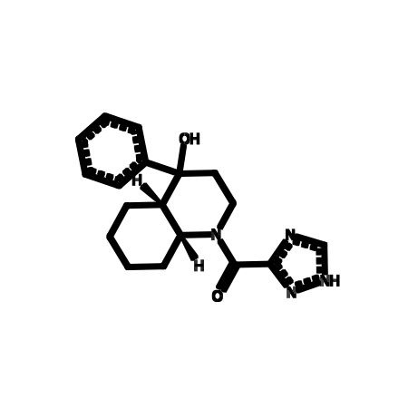 O=C(c1nc[nH]n1)N1CCC(O)(c2ccccc2)[C@H]2CCCC[C@H]21